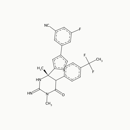 CN1C(=N)N[C@](C)(c2cc(-c3cc(F)cc(C#N)c3)cs2)C(c2ccc(C(C)(F)F)cc2)C1=O